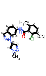 Cc1ccc(C#N)c(Cl)c1C(=O)Nc1ccc2cnn(-c3cnn(C)c3)c2c1